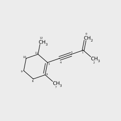 C=C(C)C#CC1=C(C)CCCC1C